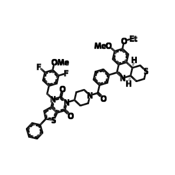 CCOc1cc2c(cc1OC)C(c1cccc(C(=O)N3CCC(n4c(=O)c5sc(-c6ccccc6)cc5n(Cc5cc(F)c(OC)c(F)c5)c4=O)CC3)c1)=N[C@@H]1CCSC[C@H]21